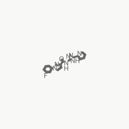 O=C(Nc1nnc(-c2ccccn2)[nH]1)c1ccn(-c2cccc(F)c2)n1